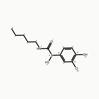 CCCCCNC(=O)N(S)c1ccc(O)c(Cl)c1